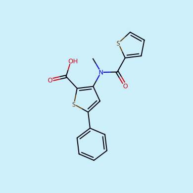 CN(C(=O)c1cccs1)c1cc(-c2ccccc2)sc1C(=O)O